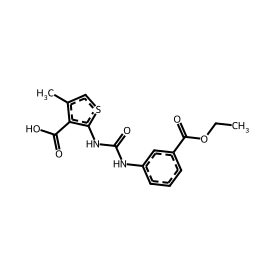 CCOC(=O)c1cccc(NC(=O)Nc2scc(C)c2C(=O)O)c1